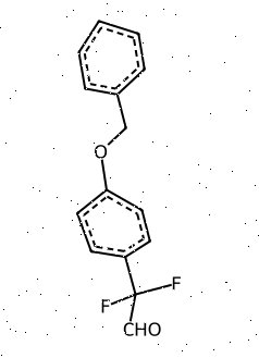 O=CC(F)(F)c1ccc(OCc2ccccc2)cc1